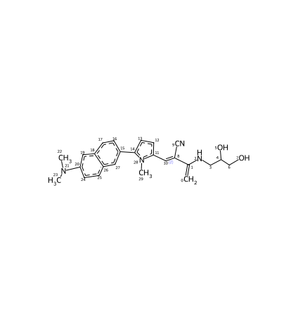 C=C(NCC(O)CO)/C(C#N)=C/c1ccc(-c2ccc3cc(N(C)C)ccc3c2)n1C